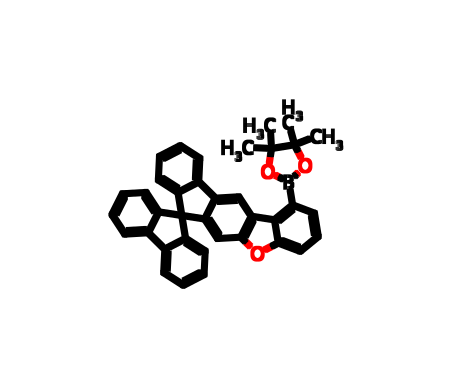 CC1(C)OB(c2cccc3oc4cc5c(cc4c23)-c2ccccc2C52c3ccccc3-c3ccccc32)OC1(C)C